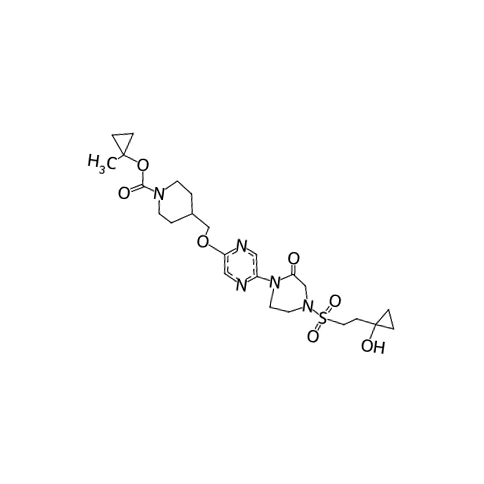 CC1(OC(=O)N2CCC(COc3cnc(N4CCN(S(=O)(=O)CCC5(O)CC5)CC4=O)cn3)CC2)CC1